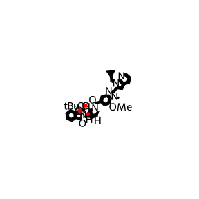 COc1cc(C(=O)N2C[C@H]3C[C@H](N4C(=O)c5ccccc5C4=O)[C@@H]2[C@@H]3NC(=O)OC(C)(C)C)cc2nc(-c3cc4cccnc4n3CC3CC3)n(C)c12